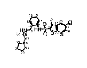 Cc1c(S(=O)(=O)Nc2ccccc2CN[C@@H](C)CC2CCCC2)sc2ccc(Cl)cc12